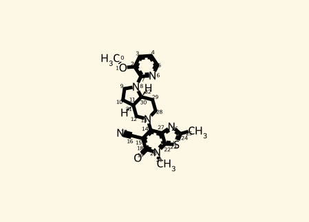 COc1cccnc1N1CC[C@@H]2CN(c3c(C#N)c(=O)n(C)c4sc(C)nc34)CC[C@@H]21